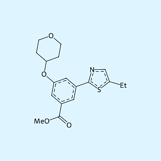 CCc1cnc(-c2cc(OC3CCOCC3)cc(C(=O)OC)c2)s1